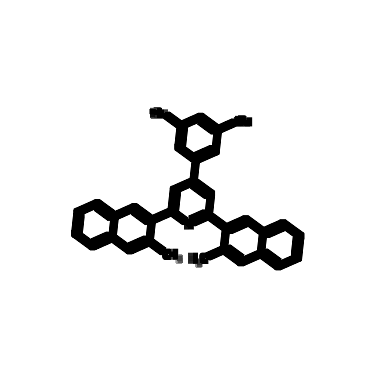 Cc1cc2ccccc2cc1-c1cc(-c2cc(C(C)(C)C)cc(C(C)(C)C)c2)cc(-c2cc3ccccc3cc2C)n1